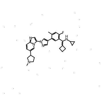 Cc1cc(F)c(C(NC2CC2)=C2CCC2)cc1-c1cnn(-c2cnc3ccc(C4CCN(C)C4)cn23)c1